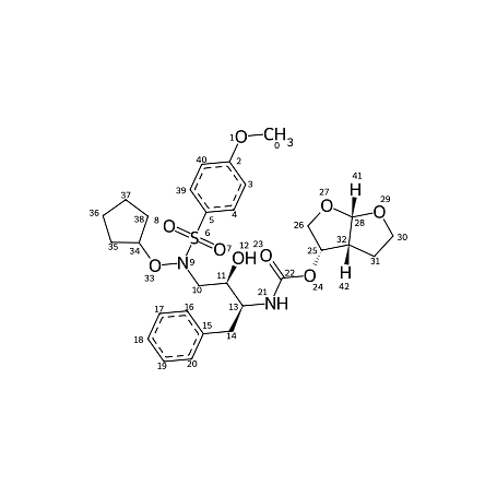 COc1ccc(S(=O)(=O)N(C[C@@H](O)[C@H](Cc2ccccc2)NC(=O)O[C@@H]2CO[C@@H]3OCC[C@@H]32)OC2CCCC2)cc1